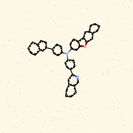 c1ccc2cc(-c3ccc(N(c4ccc(-c5cc6ccccc6cn5)cc4)c4ccc5c(c4)oc4cc6ccccc6cc45)cc3)ccc2c1